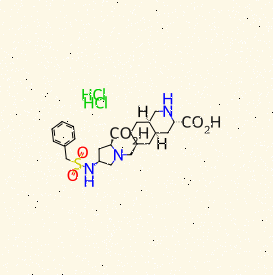 Cl.Cl.O=C(O)[C@@H]1C[C@H]2C[C@@H](CN3C[C@@H](NS(=O)(=O)Cc4ccccc4)C[C@H]3C(=O)O)CC[C@H]2CN1